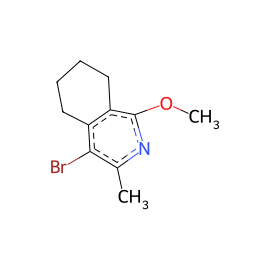 COc1nc(C)c(Br)c2c1CCCC2